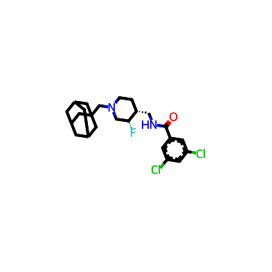 O=C(NC[C@H]1CCN(CC23CC4CC(CC(C4)C2)C3)C[C@H]1F)c1cc(Cl)cc(Cl)c1